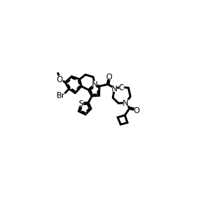 COc1cc2c(cc1Br)-c1c(-c3cccs3)cc(C(=O)N3CCCN(C(=O)C4CCC4)CC3)n1CC2